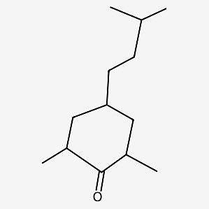 CC(C)CCC1CC(C)C(=O)C(C)C1